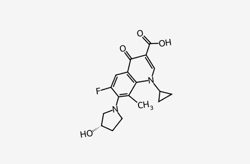 Cc1c(N2CC[C@H](O)C2)c(F)cc2c(=O)c(C(=O)O)cn(C3CC3)c12